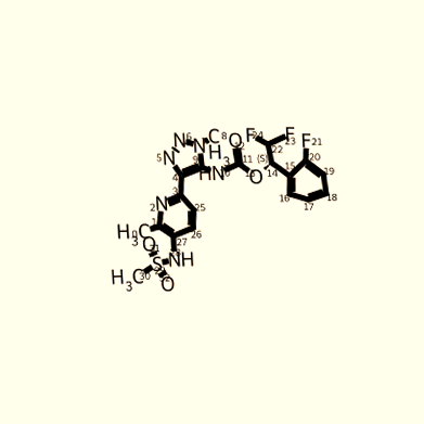 Cc1nc(-c2nnn(C)c2NC(=O)O[C@@H](c2ccccc2F)C(F)F)ccc1NS(C)(=O)=O